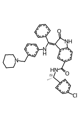 C[C@H](NC(=O)c1ccc2c(c1)C(=C(Nc1cccc(CN3CCCCC3)c1)c1ccccc1)C(=O)N2)c1ccc(Cl)cc1